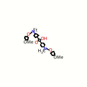 CCN(CCOc1ccc(OC)cc1)c1ccc(C2C(=O)C(C3C=CC(N(C)CCOc4ccc(OC)cc4)C=C3)C2O)cc1